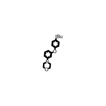 CC(C)(C)c1ccc(Oc2cccc(N3CCOCC3)c2)cc1